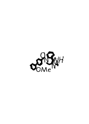 COc1ccccc1-c1ccc(C(=O)N2CCc3nc(C)[nH]c3-c3ccccc32)cc1